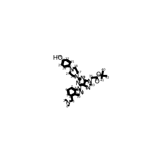 CN(C)Cc1cccc2c1cnn2-c1nc(N2CCN(c3ccc(O)cc3)CC2)nc2c1ncn2CC(=O)OC(C)(C)C